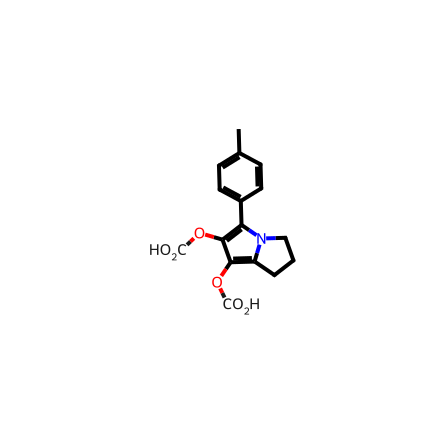 Cc1ccc(-c2c(OC(=O)O)c(OC(=O)O)c3n2CCC3)cc1